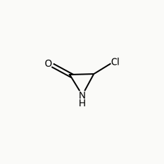 O=C1NC1Cl